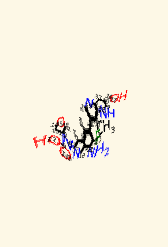 Cc1c(-c2cc3cc(N(C(=O)O)[C@@H]4CCOC4)ncc3c(N)c2F)cnc2c1NC[C@@H](CO)C2